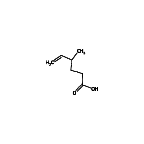 C=CC(C)CCC(=O)O